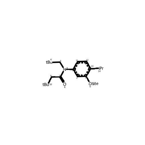 COc1cc(N(CC(C)(C)C)C(=O)CC(C)(C)C)ccc1C(C)C